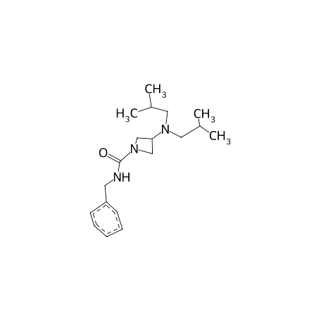 CC(C)CN(CC(C)C)C1CN(C(=O)NCc2ccccc2)C1